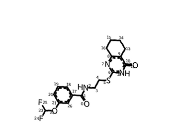 O=C(NCCSc1nc2c(c(=O)[nH]1)CCCC2)c1cccc(OC(F)F)c1